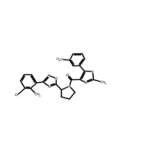 Cc1cccc(-c2sc(C)nc2C(=O)N2CCCC2c2nc(-c3cccc(Cl)c3C)no2)c1